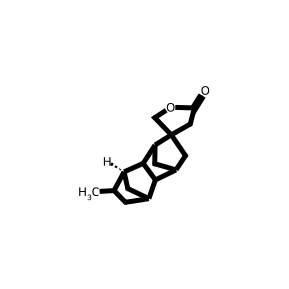 CC1CC2C[C@@H]1C1C2C2CC1C1(COC(=O)C1)C2